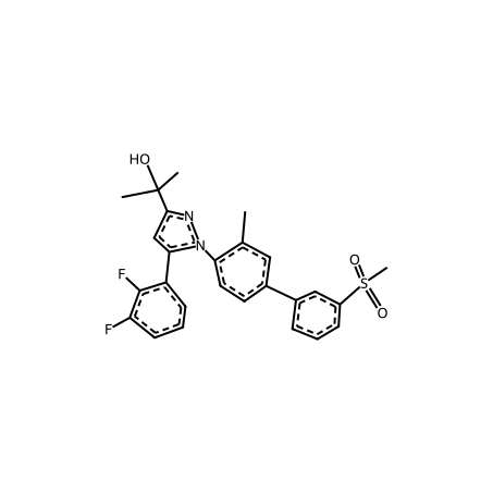 Cc1cc(-c2cccc(S(C)(=O)=O)c2)ccc1-n1nc(C(C)(C)O)cc1-c1cccc(F)c1F